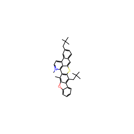 Cc1c2c(c(CC(C)(C)C)c3c1oc1ccccc13)Sc1cc3ccc(CC(C)(C)C)cc3c3cc[n+](C)c-2c13